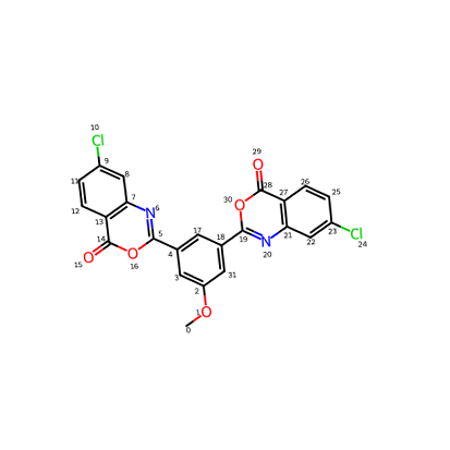 COc1cc(-c2nc3cc(Cl)ccc3c(=O)o2)cc(-c2nc3cc(Cl)ccc3c(=O)o2)c1